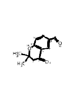 CC1(C)CC(=O)c2cc(C=O)ccc2O1